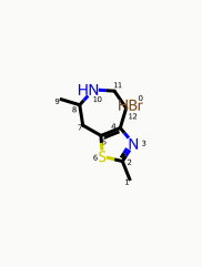 Br.Cc1nc2c(s1)CC(C)NCC2